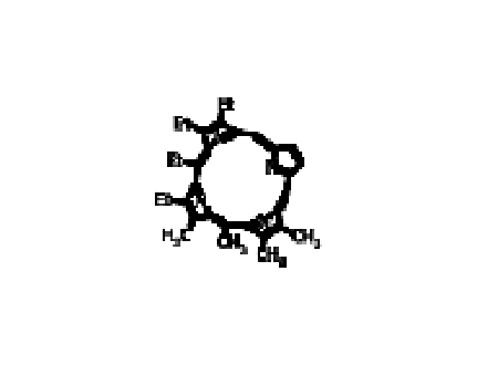 CCC1=C(C)C2=C(C)C3=NC(=CC4=NC(=CC5=NC(=C(CC)C1=N2)C(CC)=C5CC)C=C4)C(C)=C3C